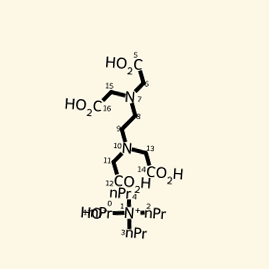 CCC[N+](CCC)(CCC)CCC.O=C(O)CN(CCN(CC(=O)O)CC(=O)O)CC(=O)O.[OH-]